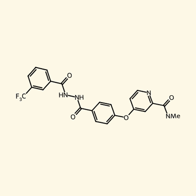 CNC(=O)c1cc(Oc2ccc(C(=O)NNC(=O)c3cccc(C(F)(F)F)c3)cc2)ccn1